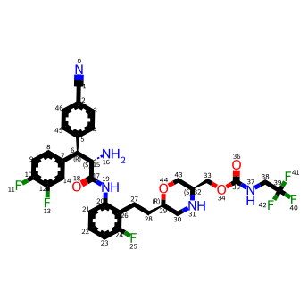 N#Cc1ccc([C@H](c2ccc(F)c(F)c2)[C@H](N)C(=O)Nc2cccc(F)c2CC[C@@H]2CN[C@H](COC(=O)NCC(F)(F)F)CO2)cc1